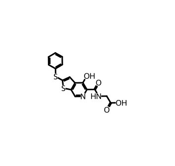 O=C(O)CNC(=O)c1ncc2sc(Sc3ccccc3)cc2c1O